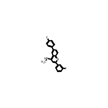 CNc1cc(-c2cccc(F)c2)nc2ccc(-c3ccc(F)cc3)cc12